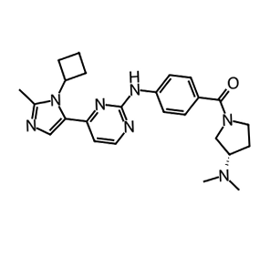 Cc1ncc(-c2ccnc(Nc3ccc(C(=O)N4CC[C@H](N(C)C)C4)cc3)n2)n1C1CCC1